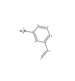 Nc1cccc(C=S)c1